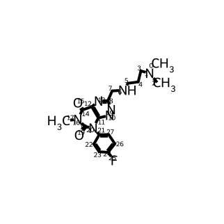 CN(C)CCCNCc1nnc2c(n1)c(=O)n(C)c(=O)n2-c1ccc(F)cc1